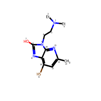 CCN(CC)CCn1c(O)nc2c(S)cc(C)nc21